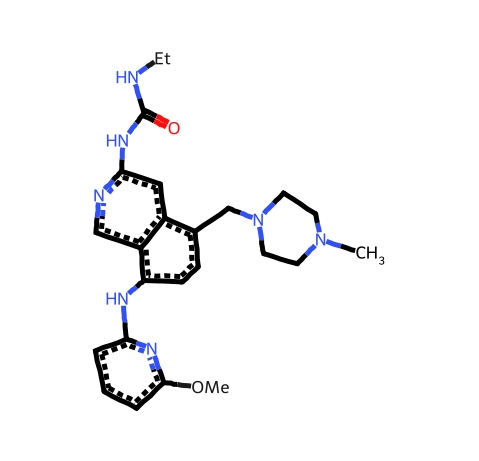 CCNC(=O)Nc1cc2c(CN3CCN(C)CC3)ccc(Nc3cccc(OC)n3)c2cn1